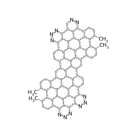 Cc1ccc2c3nncc4c5nnnc6c7ccc8c9cc%10c%11ccc(C)c%12c%13c(C)ccc%14c%15nnnc%16c%17nnnc%18c%19ccc%20c%21cc%22c%23ccc(C)c%24c1c2c1c(c43)c(c56)c2c7c8c(c%21c9c3c%20c%19c4c(c%18%17)c(c%15%16)c(c%14%13)c(c%11%12)c4c%103)c%22c2c1c%23%24